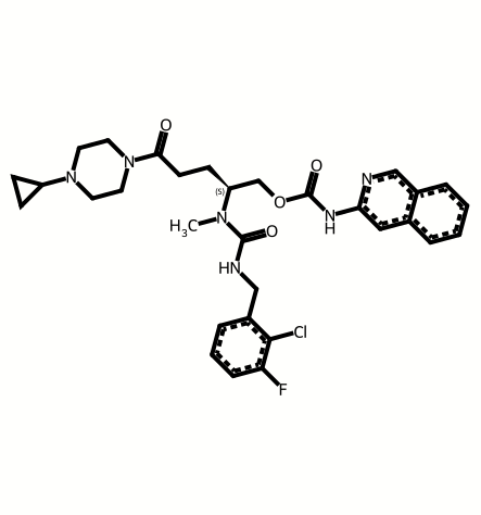 CN(C(=O)NCc1cccc(F)c1Cl)[C@@H](CCC(=O)N1CCN(C2CC2)CC1)COC(=O)Nc1cc2ccccc2cn1